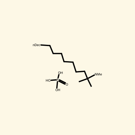 CCCCCCCCCCCCCCCCCC(C)(C)NC.O=P(O)(O)O